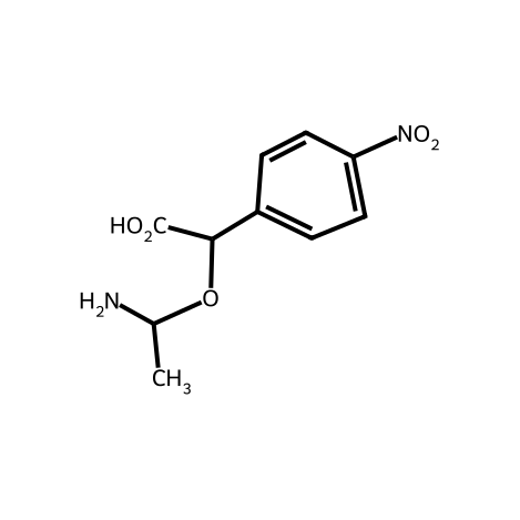 CC(N)OC(C(=O)O)c1ccc([N+](=O)[O-])cc1